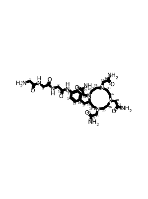 NCC(=O)NCC(=O)NCC(=O)Nc1ccc(CC2CN(CC(N)=O)CCN(CC(N)=O)CCN(CC(N)=O)CCN2CC(N)=O)cc1